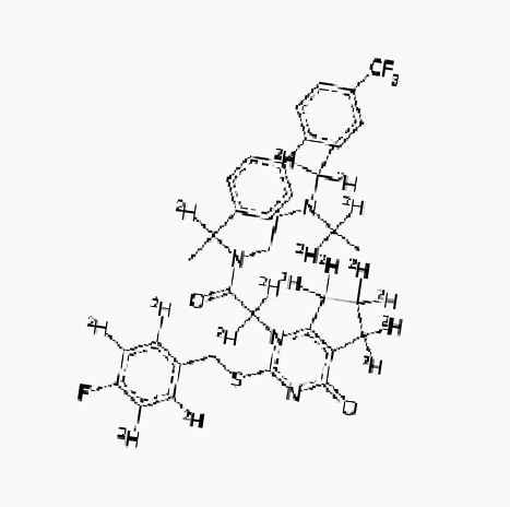 [2H]c1c([2H])c(CSc2nc(=O)c3c(n2C([2H])([2H])C(=O)N(CCN(C([2H])([2H])C)C([2H])([2H])C)C([2H])(C)c2ccc(-c4ccc(C(F)(F)F)cc4)cc2)C([2H])([2H])C([2H])([2H])C3([2H])[2H])c([2H])c([2H])c1F